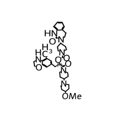 COC1CCN(C2CCN(C(=O)[C@@H](Cc3cc(C)c4c(c3)OCCN4)OC(=O)N3CCC(N4CCc5ccccc5NC4=O)CC3)CC2)CC1